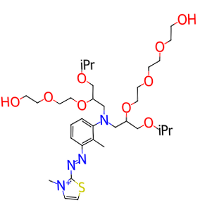 Cc1c(/N=N/c2scc[n+]2C)cccc1N(CC(COC(C)C)OCCOCCO)CC(COC(C)C)OCCOCCOCCO